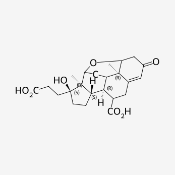 C[C@@]12C3=CC(=O)CC1OC1CC2[C@@H](C(C(=O)O)C3)[C@@H]2CC[C@](O)(CCC(=O)O)[C@@]12C